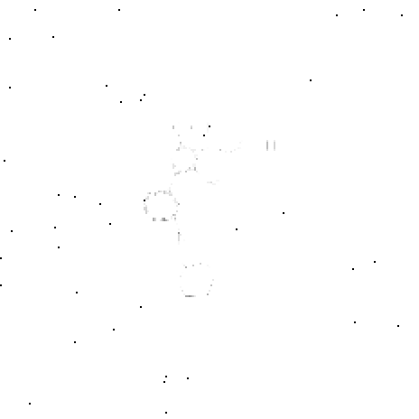 O=C(O)COc1c(C(=O)O)sc(-c2cccc(NCC3CCCCC3)c2)c1Br